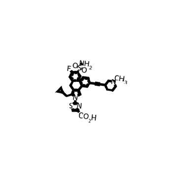 CN1CCCC(C#Cc2cccc(-c3cn(-c4nc(C(=O)O)cs4)c(CC4CC4)c3Cc3ccc(S(N)(=O)=O)c(F)c3)c2)C1